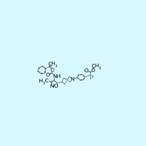 COC(=O)C1(c2ccc(N3CC4(CC(c5onc(C)c5NC(=O)O[C@H](C)c5ccccc5)C4)C3)cc2)CC1